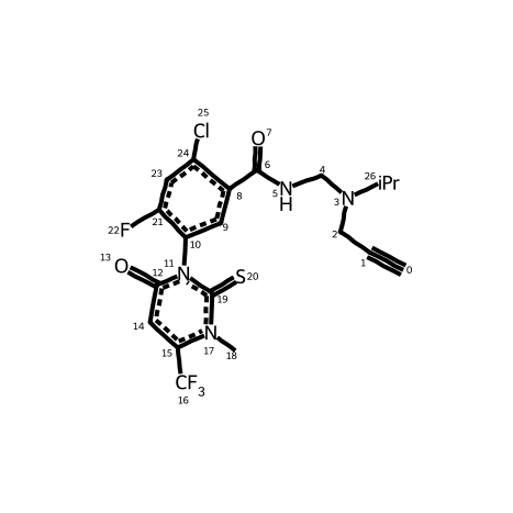 C#CCN(CNC(=O)c1cc(-n2c(=O)cc(C(F)(F)F)n(C)c2=S)c(F)cc1Cl)C(C)C